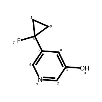 Oc1cncc(C2(F)CC2)c1